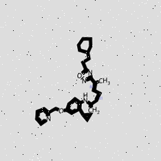 C=C(/C=C\C=C(/C)c1noc(CCC2CCCCC2)n1)Nc1ccc(OCc2ccccn2)cc1C1CC1